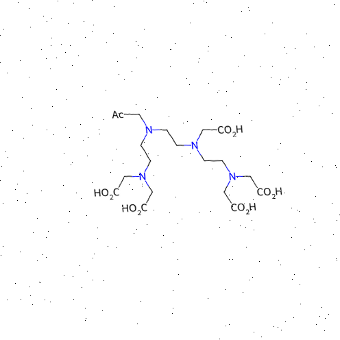 CC(=O)CN(CCN(CCN(CC(=O)O)CC(=O)O)CC(=O)O)CCN(CC(=O)O)CC(=O)O